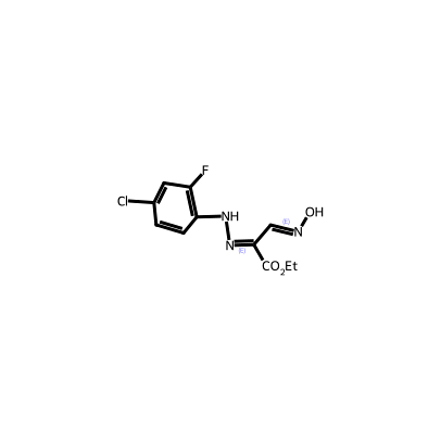 CCOC(=O)C(/C=N/O)=N/Nc1ccc(Cl)cc1F